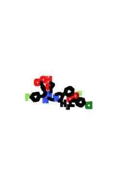 CC1(c2ccc(Cl)cc2F)Oc2cccc(C3CCN(Cc4nc(-c5ccc(F)cc5)c(C#CC(=O)O)n4CC4CCO4)CC3)c2O1